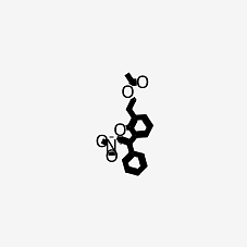 CC(=O)OCCc1cccc2c(-c3ccccc3)c([N+](=O)[O-])oc12